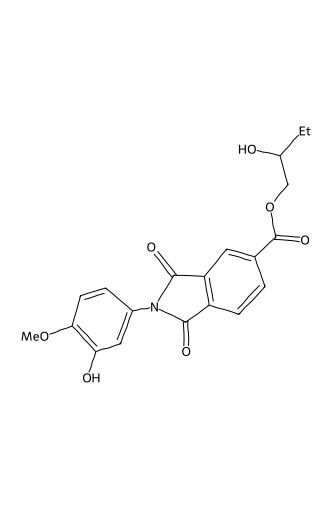 CCC(O)COC(=O)c1ccc2c(c1)C(=O)N(c1ccc(OC)c(O)c1)C2=O